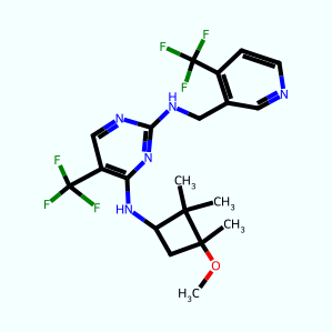 COC1(C)CC(Nc2nc(NCc3cnccc3C(F)(F)F)ncc2C(F)(F)F)C1(C)C